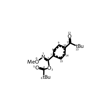 CON=C(OC(=O)C(C)(C)C)c1ccc(C(=O)C(C)(C)C)cc1